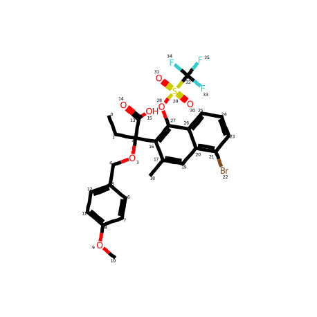 CCC(OCc1ccc(OC)cc1)(C(=O)O)c1c(C)cc2c(Br)cccc2c1OS(=O)(=O)C(F)(F)F